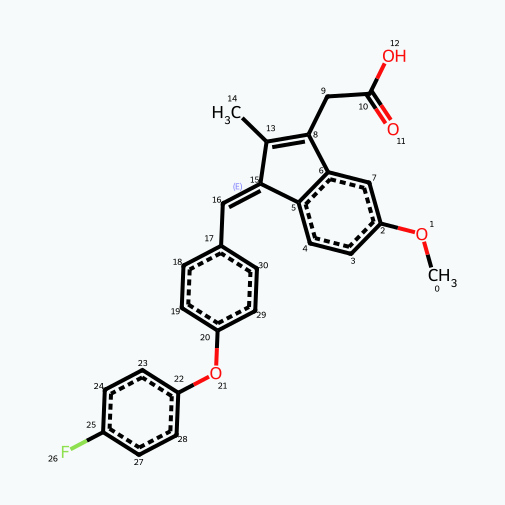 COc1ccc2c(c1)C(CC(=O)O)=C(C)/C2=C/c1ccc(Oc2ccc(F)cc2)cc1